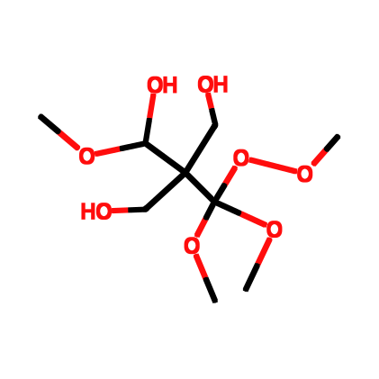 COOC(OC)(OC)C(CO)(CO)C(O)OC